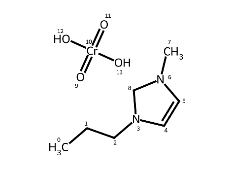 CCCN1C=CN(C)C1.[O]=[Cr](=[O])([OH])[OH]